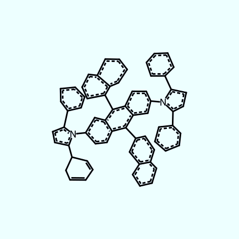 C1=CCC(c2ccc(-c3ccccc3)n2-c2ccc3c(-c4ccc5ccccc5c4)c4cc(-n5c(-c6ccccc6)ccc5-c5ccccc5)ccc4c(-c4cccc5ccccc45)c3c2)C=C1